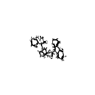 NC(=O)C(c1cnccn1)[N+]12CCC(CC1)[C@@H](OC(=O)C1c3ccccc3-c3ccccc31)C2